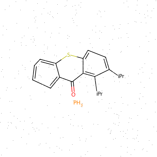 CC(C)c1ccc2sc3ccccc3c(=O)c2c1C(C)C.P